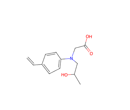 C=Cc1ccc(N(CC(=O)O)CC(C)O)cc1